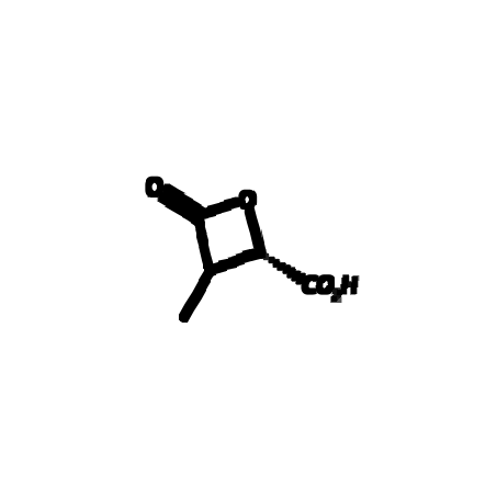 CC1C(=O)O[C@@H]1C(=O)O